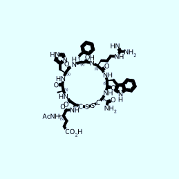 CC(=O)N[C@@H](CCC(=O)O)C(=O)N[C@H]1CSSC[C@@H](C(N)=O)NC(=O)[C@H](Cc2c[nH]c3ccccc23)NC(=O)[C@H](CCCNC(=N)N)NC(=O)[C@@H](Cc2ccccc2)NC(=O)[C@H](Cc2c[nH]cn2)NC(=O)[C@H](C)NC1=O